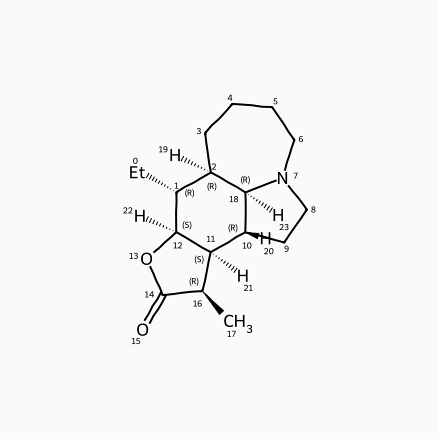 CC[C@@H]1[C@H]2CCCCN3CC[C@H]([C@@H]4[C@H]1OC(=O)[C@@H]4C)[C@@H]23